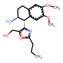 CCCc1nc([C@H]2c3cc(OC)c(OC)cc3CC[C@@H]2N)c(CO)o1